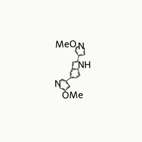 COc1cncc(-c2ccc3[nH]c(-c4ccnc(OC)c4)cc3c2)c1